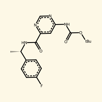 C[C@H](NC(=O)c1cc(NC(=O)OC(C)(C)C)ncn1)c1ccc(F)cc1